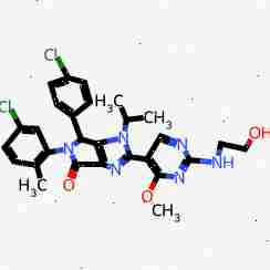 COc1nc(NCCO)ncc1-c1nc2c(n1C(C)C)C(c1ccc(Cl)cc1)N(c1cc(Cl)ccc1C)C2=O